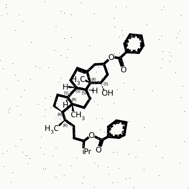 CC(C)C(CC[C@@H](C)[C@H]1CC[C@H]2[C@@H]3CC=C4CC(OC(=O)c5ccccc5)C[C@H](O)[C@]4(C)[C@H]3CC[C@]12C)OC(=O)c1ccccc1